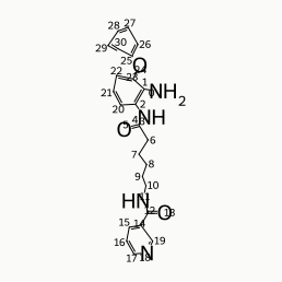 Nc1c(NC(=O)CCCCCNC(=O)c2cccnc2)cccc1Oc1ccccc1